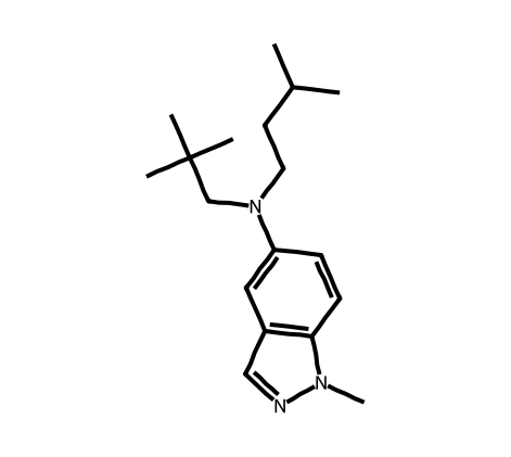 CC(C)CCN(CC(C)(C)C)c1ccc2c(cnn2C)c1